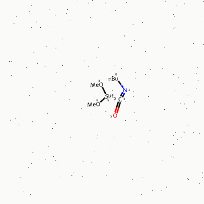 CCCCN=C=O.CO[SiH2]OC